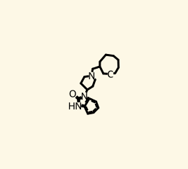 O=c1[nH]c2ccccc2n1C1CCN(CC2CCCCCCCC2)CC1